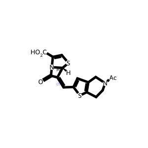 CC(=O)N1CCc2sc(/C=C3/C(=O)N4C(C(=O)O)=CS[C@H]34)cc2C1